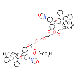 CC1(C)c2ccccc2-c2c1c1c(c3ccccc23)OC(c2ccc(OC(CCOCCOCCC(COC(=O)CCC(=O)O)Oc3ccc(C4(c5ccc(N6CCOCC6)cc5)C=Cc5c6c(c7ccccc7c5O4)-c4ccccc4C6(C)C)cc3)COC(=O)CCC(=O)O)cc2)(c2ccc(N3CCOCC3)cc2)C=C1